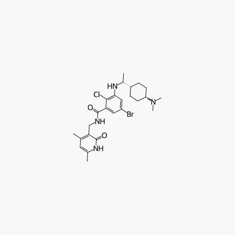 Cc1cc(C)c(CNC(=O)c2cc(Br)cc(NC(C)[C@H]3CC[C@H](N(C)C)CC3)c2Cl)c(=O)[nH]1